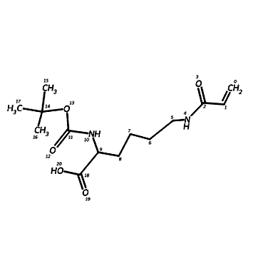 C=CC(=O)NCCCCC(NC(=O)OC(C)(C)C)C(=O)O